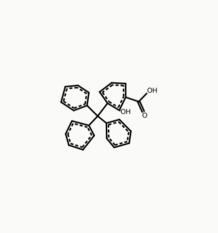 O=C(O)c1cccc(C(c2ccccc2)(c2ccccc2)c2ccccc2)c1O